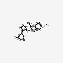 CCn1c(Cn2ccnc2-c2cccc(F)n2)nc2cc(C(C)C)ncc21